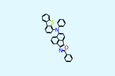 c1ccc(-c2nc3c(o2)-c2ccc(N(c4ccccc4)c4cccc5c4sc4ccccc45)c4cccc-3c24)cc1